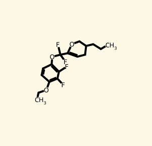 CCCC1CC=C(C(F)(F)Oc2ccc(OCC)c(F)c2F)OC1